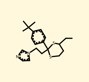 CCC1CCSC(CCn2ccnc2)(c2ccc(C(C)(C)C)cc2)S1